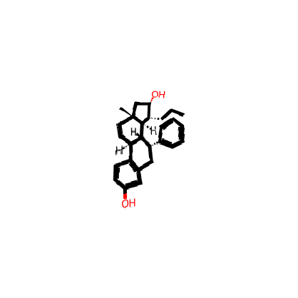 CCC[C@@H]1[C@H]2[C@H]3[C@H](CC[C@]2(C)C[C@@H]1O)c1ccc(O)cc1C[C@H]3c1ccccc1